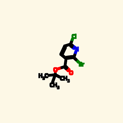 CC(C)(C)OC(=O)c1ccc(Cl)nc1Br